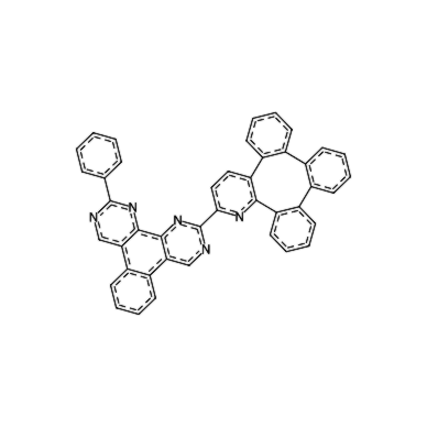 c1ccc(-c2ncc3c4ccccc4c4cnc(-c5ccc6c(n5)-c5ccccc5-c5ccccc5-c5ccccc5-6)nc4c3n2)cc1